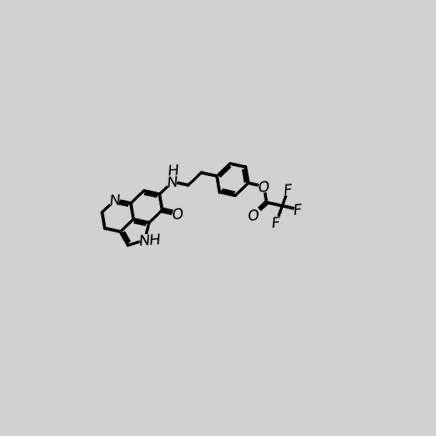 O=C1C(NCCc2ccc(OC(=O)C(F)(F)F)cc2)=CC2=NCCc3c[nH]c1c32